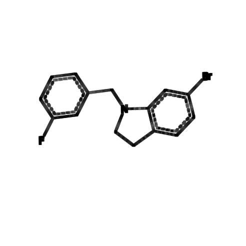 Fc1cccc(CN2CCc3ccc(Br)cc32)c1